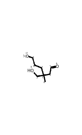 CC(CO)(C[C]=O)CCCO